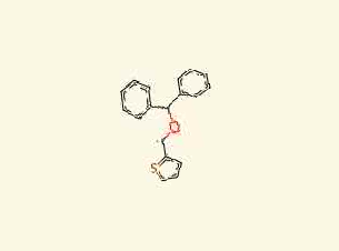 [CH](OC(c1ccccc1)c1ccccc1)c1cccs1